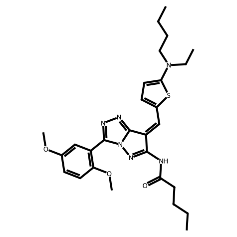 CCCCC(=O)Nc1nn2c(-c3cc(OC)ccc3OC)nnc2/c1=C\c1ccc(N(CC)CCCC)s1